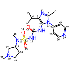 Cc1nc(C(C)C)c(NC(=O)NS(=O)(=O)N(C)C2CCN(C)C2)n1-c1ccncc1